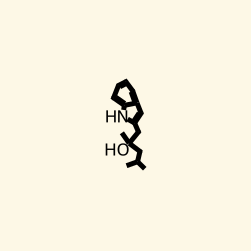 CC(C)CC(C)(O)Cc1cc2ccccc2[nH]1